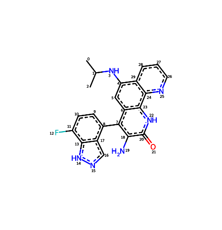 CC(C)Nc1cc2c(-c3ccc(F)c4[nH]ncc34)c(N)c(=O)[nH]c2c2ncccc12